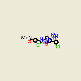 CNC(=O)c1ccc(-c2nc(C3CCc4cc(-c5cc(Cl)ccc5-n5cnnn5)cc(=O)n43)[nH]c2Cl)cc1